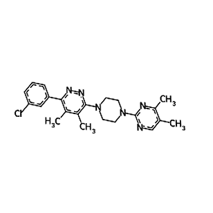 Cc1cnc(N2CCN(c3nnc(-c4cccc(Cl)c4)c(C)c3C)CC2)nc1C